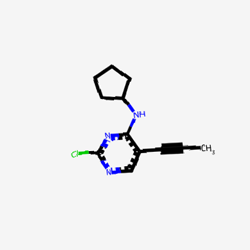 CC#Cc1cnc(Cl)nc1NC1CCCC1